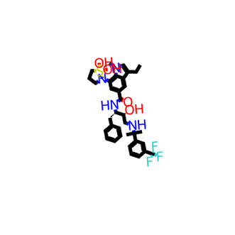 CCc1cn(C)c2c(N3CCCS3(O)O)cc(C(=O)N[C@@H](Cc3ccccc3)[C@H](O)CNC(C)(C)c3cccc(C(F)(F)F)c3)cc12